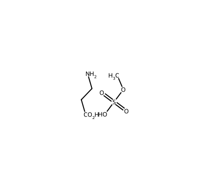 COS(=O)(=O)O.NCCC(=O)O